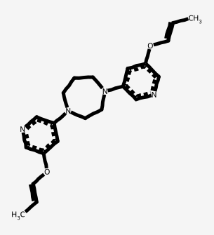 CC=COc1cncc(N2CCCN(c3cncc(OC=CC)c3)CC2)c1